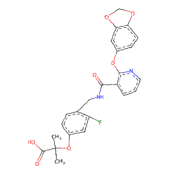 CC(C)(Oc1ccc(CNC(=O)c2cccnc2Oc2ccc3c(c2)OCO3)c(F)c1)C(=O)O